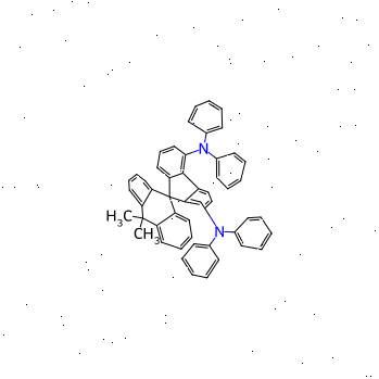 CC1(C)c2ccccc2C2(c3cc(N(c4ccccc4)c4ccccc4)ccc3-c3c(N(c4ccccc4)c4ccccc4)cccc32)c2ccccc21